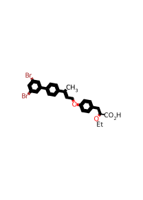 CCO[C@@H](Cc1ccc(OC/C=C(\C)c2ccc(-c3cc(Br)cc(Br)c3)cc2)cc1)C(=O)O